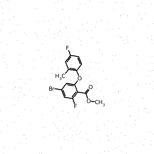 COC(=O)c1c(F)cc(Br)cc1Oc1ccc(F)cc1C